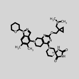 Cc1cc2c(cnn2C2CCCCO2)c(N2CCc3c(nc(OCC4(CN(C)C)CC4)nc3N3CCC[C@]4(C3)NC(=O)NC4=O)C2)c1C